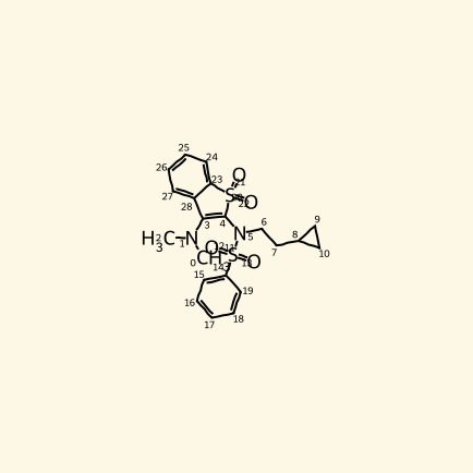 CN(C)C1=C(N(CCC2CC2)S(=O)(=O)c2ccccc2)S(=O)(=O)c2ccccc21